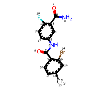 NC(=O)c1cc(NC(=O)c2ccc(C(F)(F)F)cc2Br)ccc1F